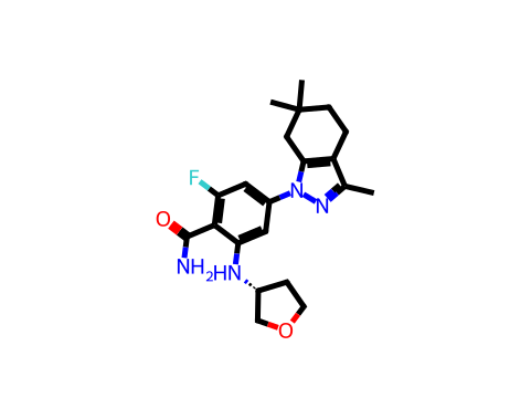 Cc1nn(-c2cc(F)c(C(N)=O)c(N[C@@H]3CCOC3)c2)c2c1CCC(C)(C)C2